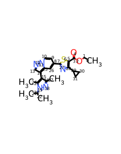 CCOC(=O)c1sc(-c2ccn3ncc(-c4c(C)nn(C(C)C)c4C)c3c2)nc1C1CC1